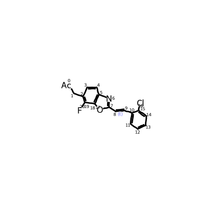 CC(=O)Cc1ccc2nc(/C=C/c3ccccc3Cl)oc2c1F